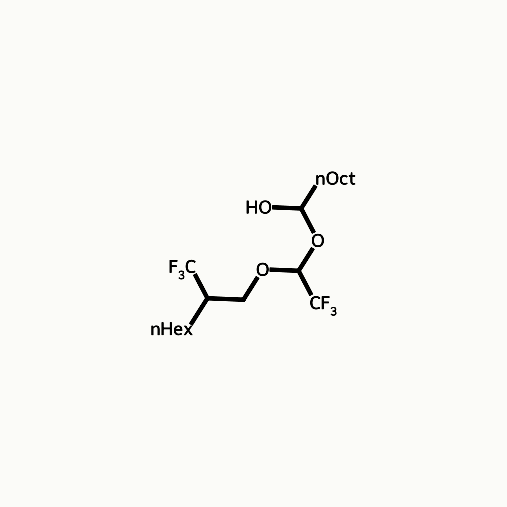 CCCCCCCCC(O)OC(OCC(CCCCCC)C(F)(F)F)C(F)(F)F